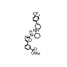 COC(=O)c1cccc(-c2cnc(N[C@@H]3CCCC[C@H]3NC3CCCN(c4ccc(C(F)(F)F)cc4)C3)o2)c1